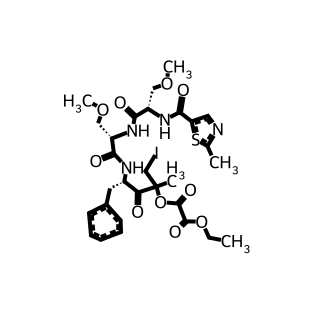 CCOC(=O)C(=O)OC(C)(CI)C(=O)[C@H](Cc1ccccc1)NC(=O)[C@H](COC)NC(=O)[C@H](COC)NC(=O)c1cnc(C)s1